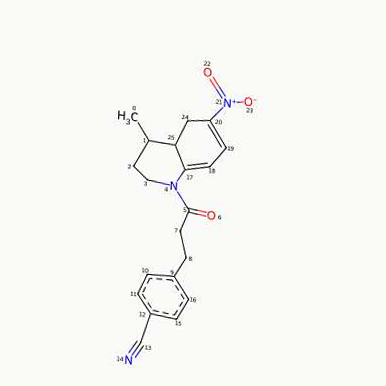 CC1CCN(C(=O)CCc2ccc(C#N)cc2)C2=CC=C([N+](=O)[O-])CC21